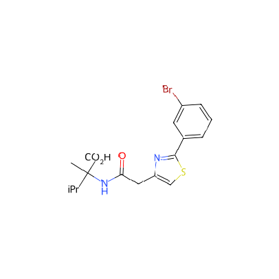 CC(C)C(C)(NC(=O)Cc1csc(-c2cccc(Br)c2)n1)C(=O)O